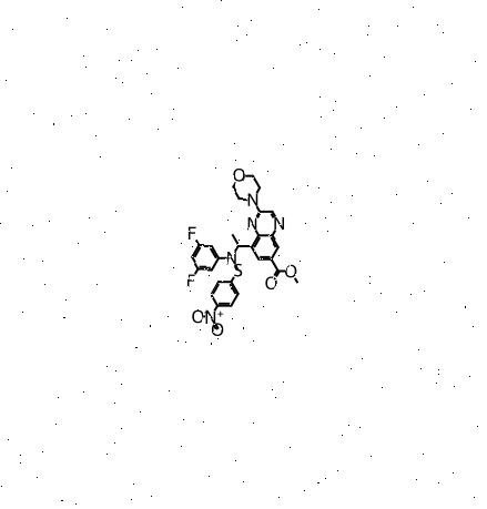 COC(=O)c1cc(C(C)N(Sc2ccc([N+](=O)[O-])cc2)c2cc(F)cc(F)c2)c2nc(N3CCOCC3)cnc2c1